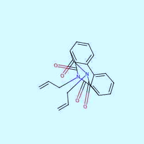 C=CCN1C(=O)c2cccc3c2c(=O)n(CC=C)c(=O)c2c(cccc23)C1=O